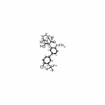 CCc1ccc(-c2ccc(Cl)c(C(F)(F)F)c2)cc1C1=C(O)[C@H]2CC[C@H](C2)C1=O